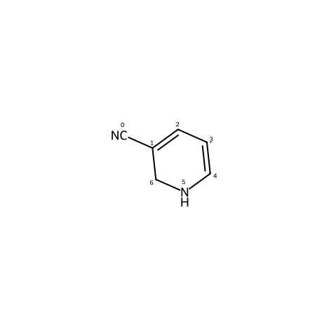 N#CC1=C[C]=CNC1